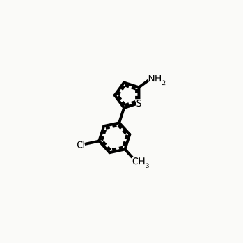 Cc1cc(Cl)cc(-c2ccc(N)s2)c1